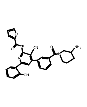 N#Cc1c(-c2cccc(C(=O)N3CCCC(N)C3)c2)cc(-c2ccccc2O)nc1NC(=O)c1ccco1